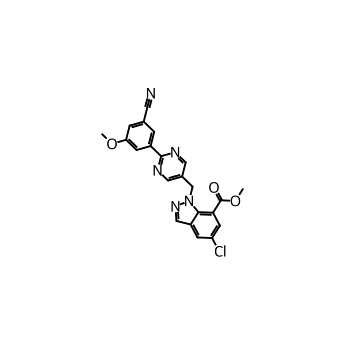 COC(=O)c1cc(Cl)cc2cnn(Cc3cnc(-c4cc(C#N)cc(OC)c4)nc3)c12